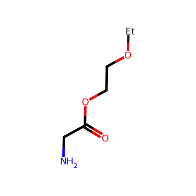 CCOCCOC(=O)CN